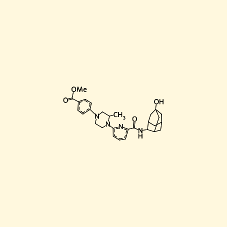 COC(=O)c1ccc(N2CCN(c3cccc(C(=O)NC4C5CC6CC4CC(O)(C6)C5)n3)C(C)C2)cc1